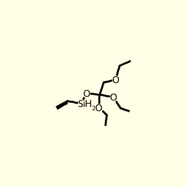 C=C[SiH2]OC(COCC)(OCC)OCC